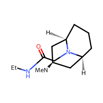 CCNC(=O)CN1[C@@H]2CCC[C@H]1C[C@@H](NC)C2